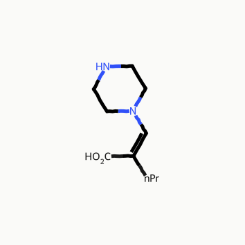 CCCC(=CN1CCNCC1)C(=O)O